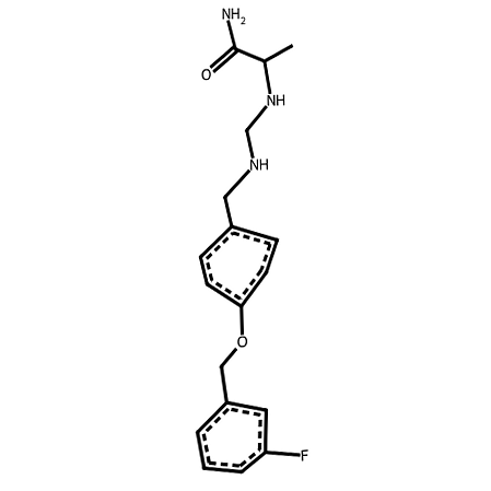 CC(NCNCc1ccc(OCc2cccc(F)c2)cc1)C(N)=O